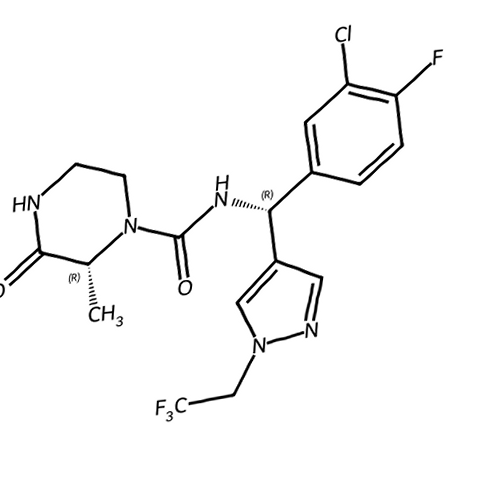 C[C@@H]1C(=O)NCCN1C(=O)N[C@H](c1ccc(F)c(Cl)c1)c1cnn(CC(F)(F)F)c1